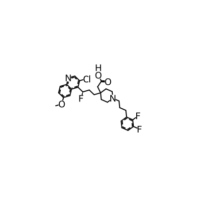 COc1ccc2ncc(Cl)c([C@H](F)CCC3(CC(=O)O)CCN(CCCc4cccc(F)c4F)CC3)c2c1